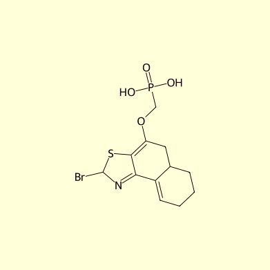 O=P(O)(O)COC1=C2SC(Br)N=C2C2=CCCCC2C1